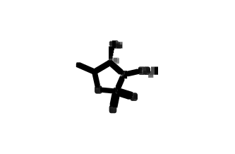 CC1OS(=O)(=O)N(C(=O)O)[C@H]1C(C)(C)C